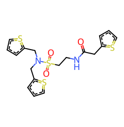 O=C(Cc1cccs1)NCCS(=O)(=O)N(Cc1cccs1)Cc1cccs1